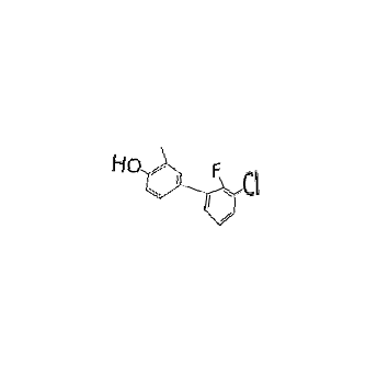 Cc1cc(-c2cccc(Cl)c2F)ccc1O